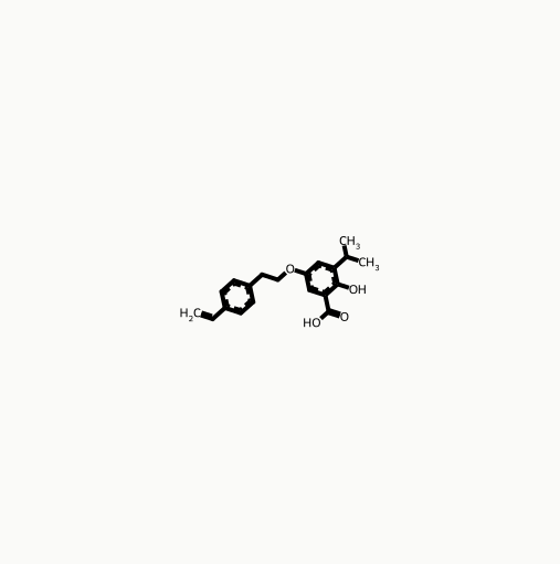 C=Cc1ccc(CCOc2cc(C(=O)O)c(O)c(C(C)C)c2)cc1